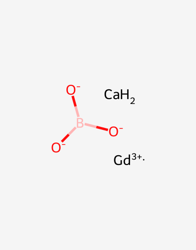 [CaH2].[Gd+3].[O-]B([O-])[O-]